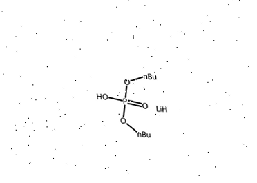 CCCCOP(=O)(O)OCCCC.[LiH]